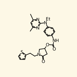 CCN(c1ccc(NC(=O)OC2CC(=O)N(CCc3cccs3)C2)cc1)c1nc(C)cc(C)n1